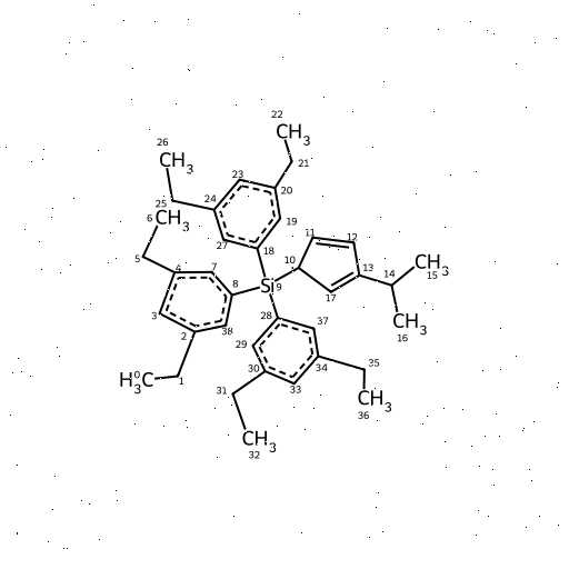 CCc1cc(CC)cc([Si]([C]2C=CC(C(C)C)=C2)(c2cc(CC)cc(CC)c2)c2cc(CC)cc(CC)c2)c1